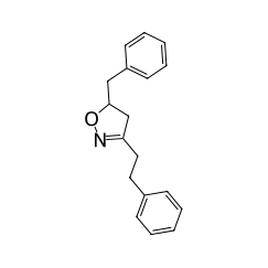 c1ccc(CCC2=NOC(Cc3ccccc3)C2)cc1